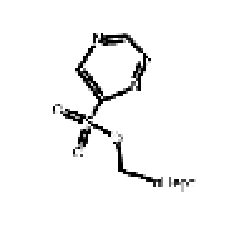 CCCCCCCCOS(=O)(=O)c1cncnn1